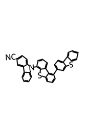 N#Cc1ccc2c(c1)c1ccccc1n2-c1cccc2c1sc1cccc(-c3ccc4c(c3)sc3ccccc34)c12